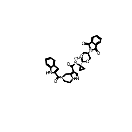 CN(C(=O)c1cnn2c1CN(C(=O)c1cc3ccccc3[nH]1)CC2)C1([C@H]2OC[C@H](N3C(=O)c4ccccc4C3=O)CO2)CC1